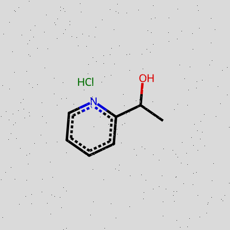 CC(O)c1ccccn1.Cl